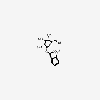 O=C(O)/C(=C\c1ccccc1F)O[C@H]1O[C@@H](CO)[C@@H](O)[C@H](O)[C@H]1O